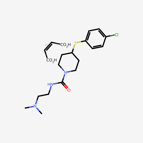 CN(C)CCNC(=O)N1CCC(Sc2ccc(Cl)cc2)CC1.O=C(O)/C=C\C(=O)O